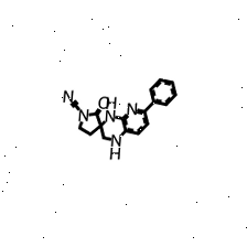 N#CN1CCC2(CNc3ccc(-c4ccccc4)nc3N2)C1=O